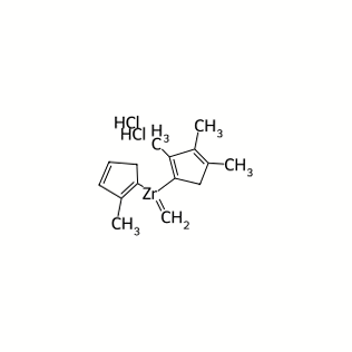 Cl.Cl.[CH2]=[Zr]([C]1=C(C)C=CC1)[C]1=C(C)C(C)=C(C)C1